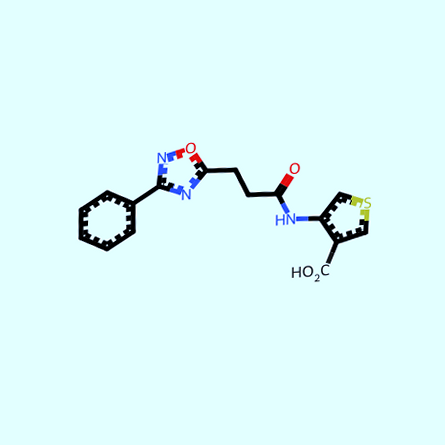 O=C(CCc1nc(-c2ccccc2)no1)Nc1cscc1C(=O)O